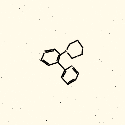 [CH]1CCN(c2cnccc2-c2ccccn2)CC1